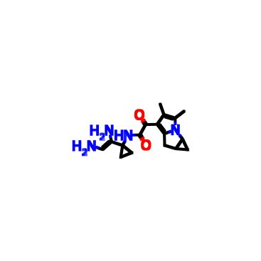 Cc1c(C(=O)C(=O)NC2(/C(N)=C/N)CC2)c2n(c1C)C1CC1C2